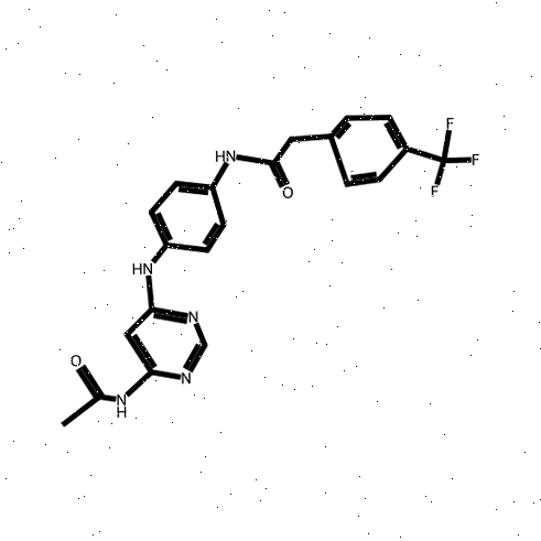 CC(=O)Nc1cc(Nc2ccc(NC(=O)Cc3ccc(C(F)(F)F)cc3)cc2)ncn1